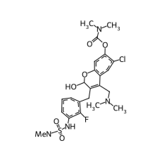 CNS(=O)(=O)Nc1cccc(CC2=C(CN(C)C)c3cc(Cl)c(OC(=O)N(C)C)cc3OC2O)c1F